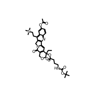 CCC1(OC(=O)CCCNC(=O)OC(C)(C)C)C(=O)OCc2c1cc1n(c2=O)Cc2c-1nc1ccc(OC(C)=O)cc1c2CC[Si](C)(C)C